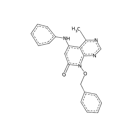 Cc1ncnc2c1c(Nc1ccccc1)cc(=O)n2OCc1ccccc1